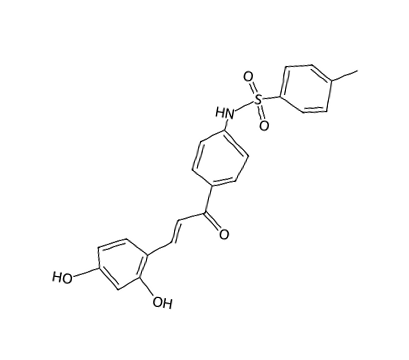 Cc1ccc(S(=O)(=O)Nc2ccc(C(=O)/C=C/c3ccc(O)cc3O)cc2)cc1